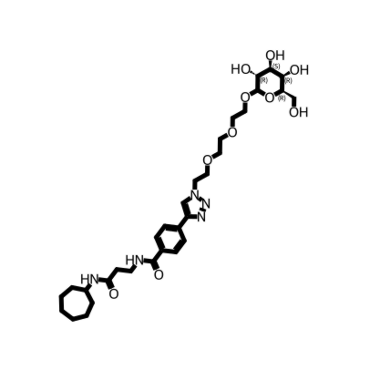 O=C(CCNC(=O)c1ccc(-c2cn(CCOCCOCCOC3O[C@H](CO)[C@H](O)[C@H](O)[C@H]3O)nn2)cc1)NC1CCCCCC1